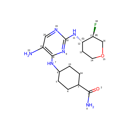 NC(=O)C1CCC(Nc2nc(N[C@H]3CCOC[C@@H]3F)ncc2N)CC1